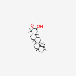 C[C@H]1[C@H](C)CC[C@]2(C)CC[C@]3(C)C(=CCC4[C@@]5(C)C[C@@H](O)C(=O)C(C)(C)C5CC[C@]43C)[C@H]12